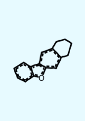 c1ccc2c(c1)oc1cc3c(cc12)CCCC3